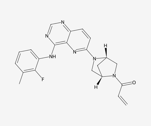 C=CC(=O)N1C[C@@H]2C[C@H]1CN2c1ccc2ncnc(Nc3cccc(C)c3F)c2n1